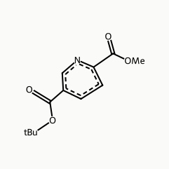 COC(=O)c1ccc(C(=O)OC(C)(C)C)cn1